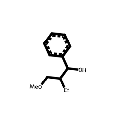 CCC(COC)C(O)c1ccccc1